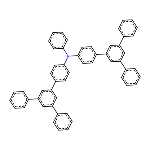 c1ccc(-c2cc(-c3ccccc3)cc(-c3ccc(N(c4ccccc4)c4ccc(-c5cc(-c6ccccc6)cc(-c6ccccc6)c5)cc4)cc3)c2)cc1